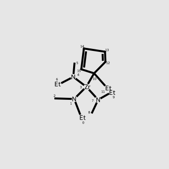 CC[N](C)[Zr]([N](C)CC)([N](C)CC)[C]1(CC)C=CC=C1